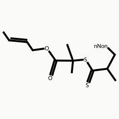 CC=CCOC(=O)C(C)(C)SC(=S)C(C)CCCCCCCCCC